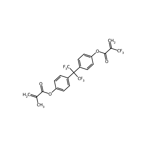 C=C(C)C(=O)Oc1ccc(C(c2ccc(OC(=O)C(=C)C(F)(F)F)cc2)(C(F)(F)F)C(F)(F)F)cc1